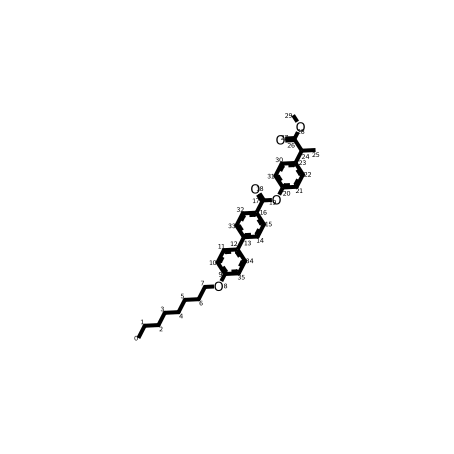 CCCCCCCCOc1ccc(-c2ccc(C(=O)Oc3ccc(C(C)C(=O)OC)cc3)cc2)cc1